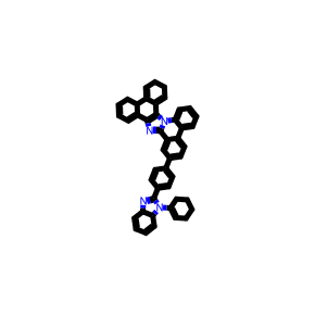 C1=CCC2C3=CCCC=C3c3c(nc4c5cc(-c6ccc(C7=NC8C=CC=CC8N7C7=CCCCC7)cc6)ccc5c5ccccc5n34)C2=C1